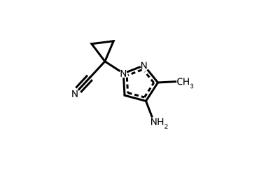 Cc1nn(C2(C#N)CC2)cc1N